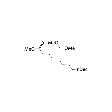 CCCCCCCCCCCCCCCCCC(=O)OC.COCOC